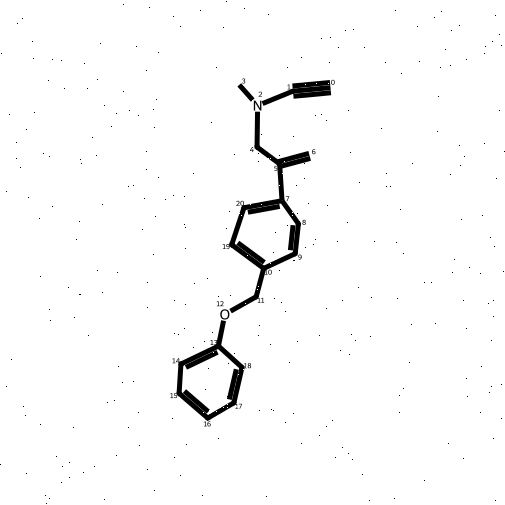 C#CN(C)CC(=C)c1ccc(COc2ccccc2)cc1